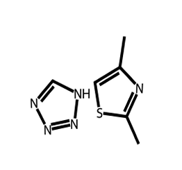 Cc1csc(C)n1.c1nnn[nH]1